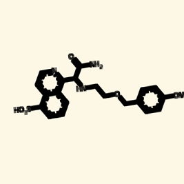 COc1ccc(COCCNC(C(N)=O)c2nccc3c(S(=O)(=O)O)cccc23)cc1